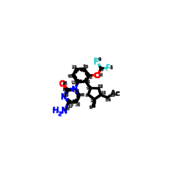 C=C1CC(c2c(OC(F)F)cccc2-n2ccc(N)nc2=O)CC1CC(C)=O